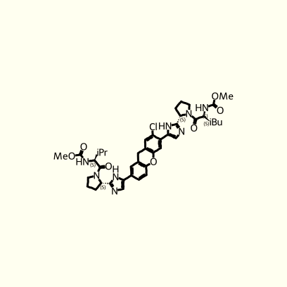 CC[C@H](C)[C@H](NC(=O)OC)C(=O)N1CCC[C@H]1c1ncc(-c2cc3c(cc2Cl)Cc2cc(-c4cnc([C@@H]5CCCN5C(=O)[C@@H](NC(=O)OC)C(C)C)[nH]4)ccc2O3)[nH]1